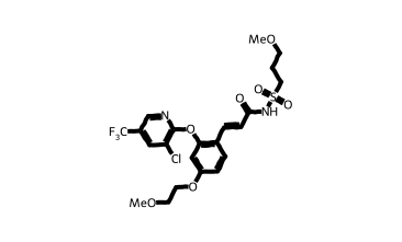 COCCCS(=O)(=O)NC(=O)/C=C/c1ccc(OCCOC)cc1Oc1ncc(C(F)(F)F)cc1Cl